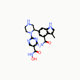 Cc1c[nH]c2cc(C3CNCCN3c3ncc(C(=O)NO)cn3)cc(C(N)=O)c12